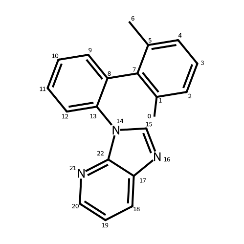 Cc1cccc(C)c1-c1ccccc1-n1cnc2cccnc21